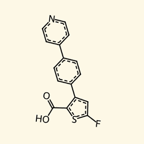 O=C(O)c1sc(F)cc1-c1ccc(-c2ccncc2)cc1